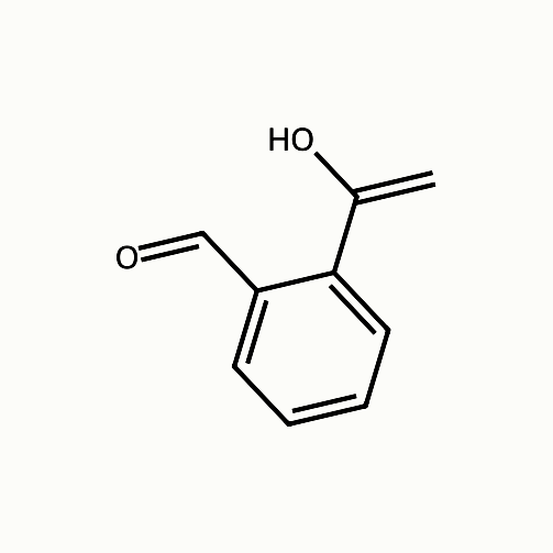 C=C(O)c1ccccc1C=O